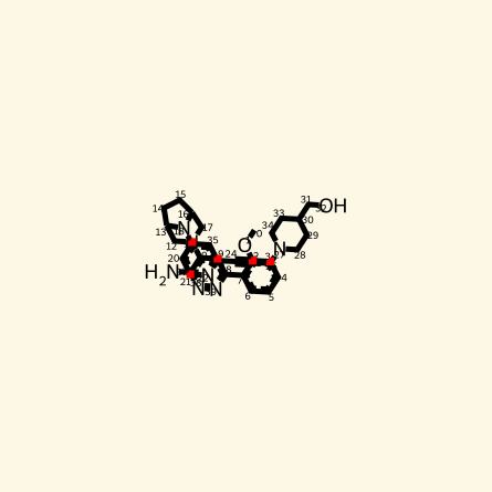 COc1ccccc1-c1cc(N2CC3CCC(C2)N3c2ccnc(C#CCN3CCC(CO)CC3)c2)c(N)nn1